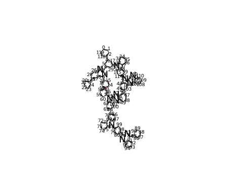 c1ccc(-c2cc(-c3nc(-c4ccccc4)c4cc(-c5ccccc5)ccc4n3)cc(-n3c4ccccc4c4cc(-n5c6ccc(-c7cccc8c7nc7n(-c9ccccc9)c9ccc(-c%10ccc%11c(c%10)c%10ccccc%10n%11-c%10ccc(-c%11nc(-c%12ccccc%12)c%12ccccc%12n%11)cc%10)cc9n87)cc6n6c7ccccc7nc56)ccc43)c2)cc1